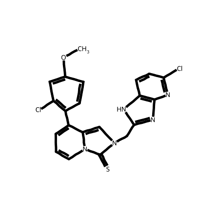 COc1ccc(-c2cccn3c(=S)n(Cc4nc5nc(Cl)ccc5[nH]4)cc23)c(Cl)c1